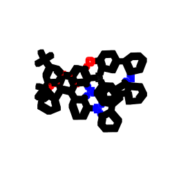 CC(C)(C)c1cc(-c2cc3c4c(c2)N(c2c(-c5cccc6oc7ccccc7c56)cccc2-n2c5ccccc5c5cc(C#N)ccc52)c2ccc(-c5ccccc5)cc2B4c2cc(-c4ccccc4)ccc2O3)cc(C(C)(C)C)c1